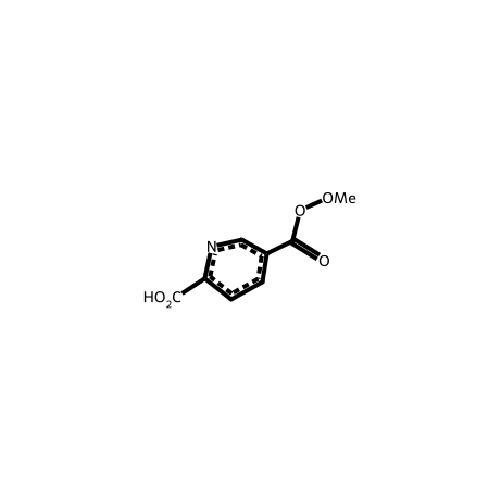 COOC(=O)c1ccc(C(=O)O)nc1